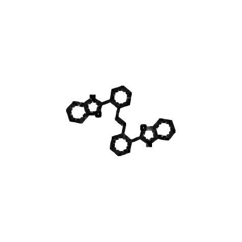 C(=Cc1ccccc1-c1nc2ccccc2o1)c1ccccc1-c1nc2ccccc2o1